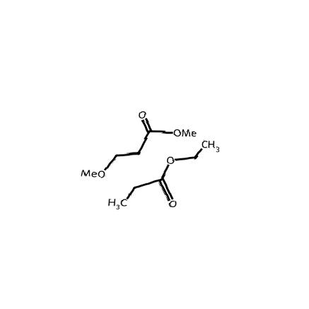 CCOC(=O)CC.COCCC(=O)OC